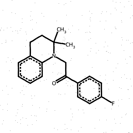 CC1(C)CCc2ccccc2N1CC(=O)c1ccc(F)cc1